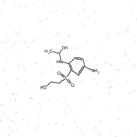 CC(O)Nc1ccc(N)cc1S(=O)(=O)CCO